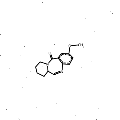 COc1ccc2c(c1)C(=O)N1CCCCC1C=N2